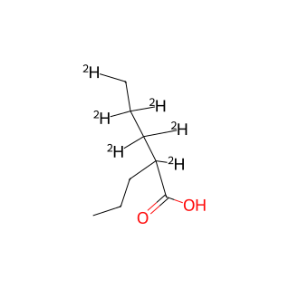 [2H]CC([2H])([2H])C([2H])([2H])C([2H])(CCC)C(=O)O